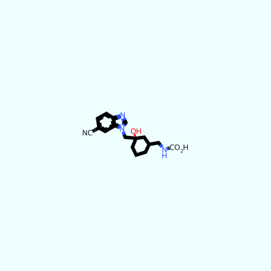 N#Cc1ccc2ncn(C[C@@]3(O)CCCC(CNC(=O)O)C3)c2c1